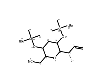 C=C[C@H](C)C1OC(CC#N)C(O[Si](C)(C)C(C)(C)C)CC1O[Si](C)(C)C(C)(C)C